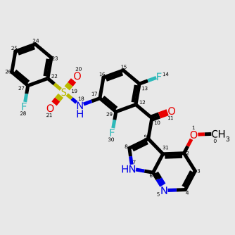 COc1ccnc2[nH]cc(C(=O)c3c(F)ccc(NS(=O)(=O)c4ccccc4F)c3F)c12